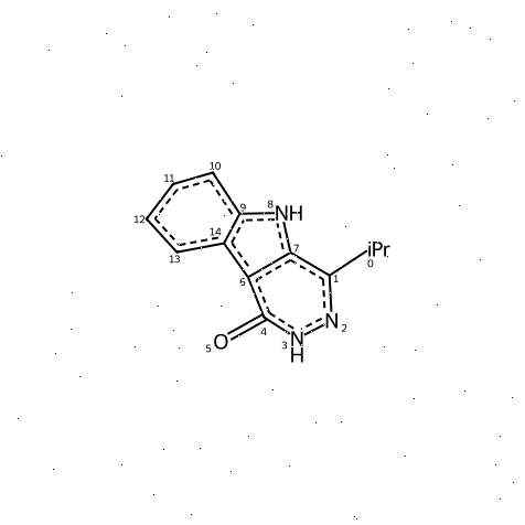 CC(C)c1n[nH]c(=O)c2c1[nH]c1ccccc12